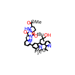 COC(=O)C1CCCN(C(=O)[C@H](Cc2cccc(-c3ccc4c(c3)c(CC(C)(C)CO)c(-c3cccnc3[C@H](C)OC)n4CC(F)(F)F)n2)NC(=O)OC(C)(C)C)N1